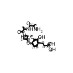 CC(N)C(=O)NC(C)C(=O)N1CC(Oc2ccc(CCB(O)O)c(O)c2C(=O)O)C1